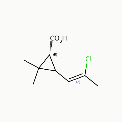 C/C(Cl)=C/C1[C@@H](C(=O)O)C1(C)C